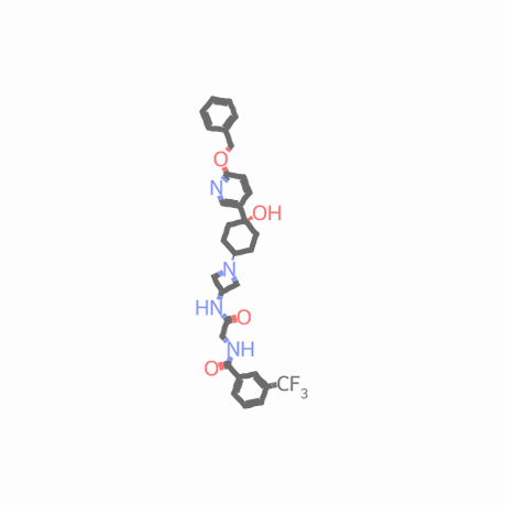 O=C(CNC(=O)c1cccc(C(F)(F)F)c1)NC1CN([C@H]2CC[C@@](O)(c3ccc(OCc4ccccc4)nc3)CC2)C1